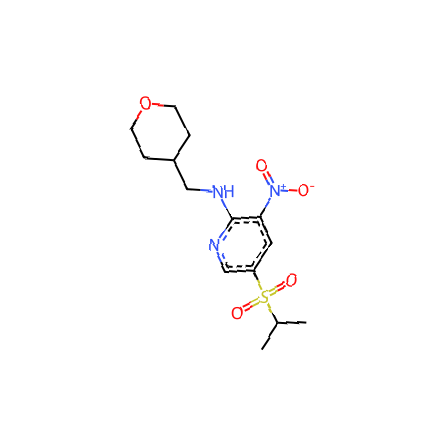 CC(C)S(=O)(=O)c1cnc(NCC2CCOCC2)c([N+](=O)[O-])c1